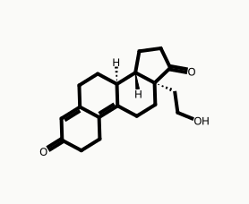 O=C1C=C2CC[C@@H]3C(=C2CC1)CC[C@]1(CCO)C(=O)CC[C@@H]31